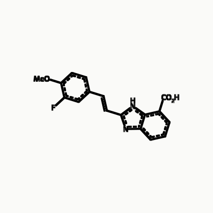 COc1ccc(C=Cc2nc3cccc(C(=O)O)c3[nH]2)cc1F